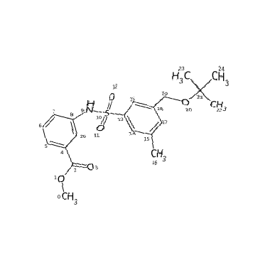 COC(=O)c1cccc(NS(=O)(=O)c2cc(C)cc(COC(C)(C)C)c2)c1